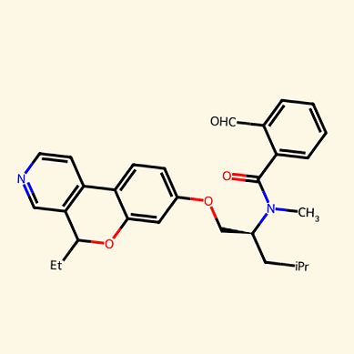 CCC1Oc2cc(OC[C@H](CC(C)C)N(C)C(=O)c3ccccc3C=O)ccc2-c2ccncc21